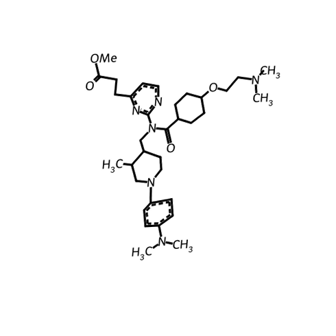 COC(=O)CCc1ccnc(N(CC2CCN(c3ccc(N(C)C)cc3)CC2C)C(=O)C2CCC(OCCN(C)C)CC2)n1